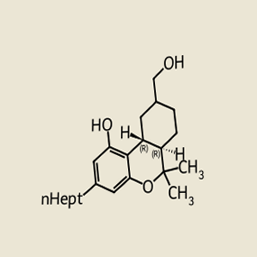 CCCCCCCc1cc(O)c2c(c1)OC(C)(C)[C@@H]1CCC(CO)C[C@@H]21